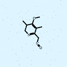 COC1=C(C)C(C[S+]=O)=NCC1C